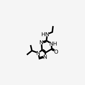 CCNc1nc2c(ncn2C(C)C)c(=O)[nH]1